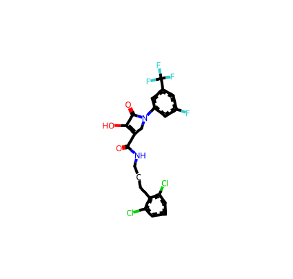 O=C(NCCCc1c(Cl)cccc1Cl)C1=C(O)C(=O)N(c2cc(F)cc(C(F)(F)F)c2)C1